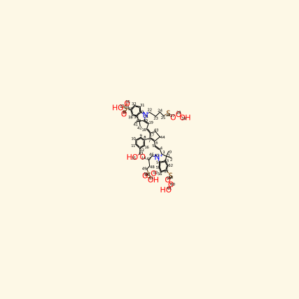 CC1(C)C(/C=C/C2=C(c3cccc(C(=O)O)c3)C(=C/C=C3/N(CCCCSOOO)c4ccc(S(=O)(=O)O)cc4C3(C)C)/CC2)=[N+](CCCCS(=O)(=O)O)c2ccc(SOOO)cc21